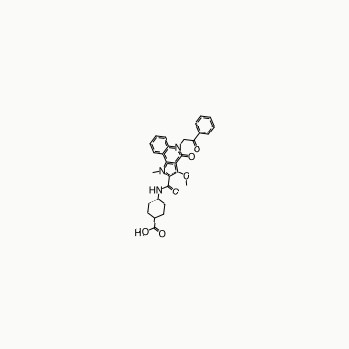 COc1c(C(=O)NC2CCC(C(=O)O)CC2)n(C)c2c1c(=O)n(CC(=O)c1ccccc1)c1ccccc21